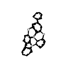 c1ccc(-c2cc3c4c(c2)Oc2ccc5c6ccccc6n6c5c2B4c2c(cccc2-6)O3)cc1